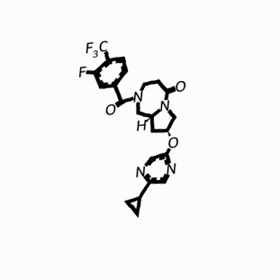 O=C(c1ccc(C(F)(F)F)c(F)c1)N1CCC(=O)N2C[C@H](Oc3cnc(C4CC4)cn3)C[C@H]2C1